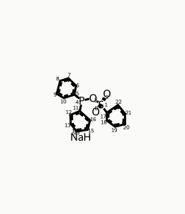 O=S(=O)(OP(c1ccccc1)c1ccccc1)c1ccccc1.[NaH]